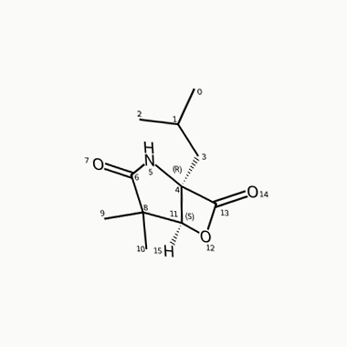 CC(C)C[C@@]12NC(=O)C(C)(C)[C@@H]1OC2=O